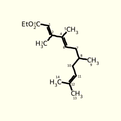 CCOC(=O)/C=C(C)/C(C)=C/CC(C)CC=C(C)C